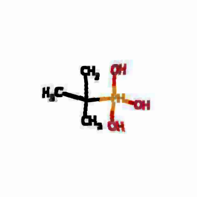 CC(C)(C)[PH](O)(O)O